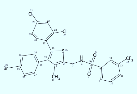 Cc1c(CNS(=O)(=O)c2cccc(C(F)(F)F)c2)sc(-c2ccc(Cl)cc2Cl)c1-c1ccc(Br)cc1